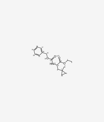 CCOC(=O)C(CC1(C)CC1)NC(=O)OCc1ccccc1